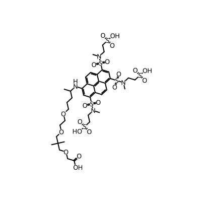 CC(CCCOCCOCC(C)(C)COCC(=O)O)Nc1cc(S(=O)(=O)N(C)CCS(=O)(=O)O)c2ccc3c(S(=O)(=O)N(C)CCS(=O)(=O)O)cc(S(=O)(=O)N(C)CCS(=O)(=O)O)c4ccc1c2c43